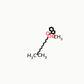 COc1ccc2ccccc2c1C(=O)OCCCCCCCCCCCC(C)C